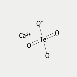 O=[Te](=O)([O-])[O-].[Ca+2]